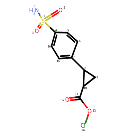 NS(=O)(=O)c1ccc(C2CC2C(=O)OCl)cc1